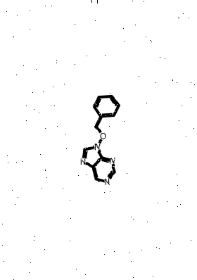 c1ccc(COn2cnc3cncnc32)cc1